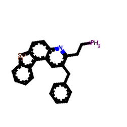 PCCc1nc2ccc3sc4ccccc4c3c2cc1Cc1ccccc1